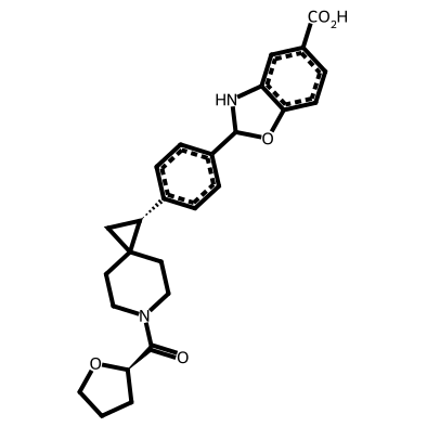 O=C(O)c1ccc2c(c1)NC(c1ccc([C@H]3CC34CCN(C(=O)[C@H]3CCCO3)CC4)cc1)O2